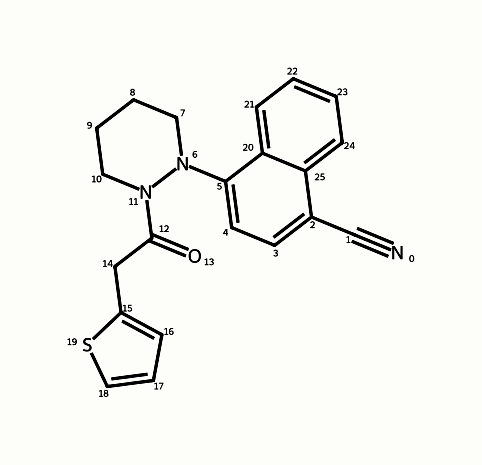 N#Cc1ccc(N2CCCCN2C(=O)Cc2cccs2)c2ccccc12